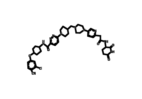 N#Cc1ccc(OC2CCC(NC(=O)c3ccc(N4CCC(CN5CCN(c6ccc(CC(=O)NC7CCC(=O)NC7=O)nc6)CC5)CC4)nn3)CC2)cc1Cl